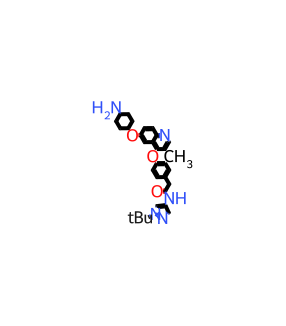 Cc1cc(CC(=O)Nc2cnn(C(C)(C)C)c2)ccc1Oc1ccnc2ccc(O[C@H]3CC[C@H](N)CC3)cc12